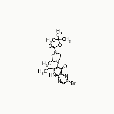 CCc1[nH]c2ncc(Br)nc2c(=O)c1N1CCN(C(=O)OC(C)(C)C)CC1C